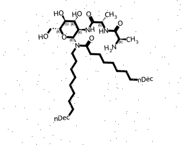 CCCCCCCCCCCCCCCCCCN(C(=O)CCCCCCCCCCCCCCCCC)[C@@H]1O[C@H](CO)[C@@H](O)[C@H](O)[C@H]1NC(=O)[C@H](C)NC(=O)[C@@H](C)N